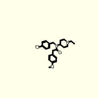 CCN1CCC(N(Cc2ccc(Cl)cc2)C(=O)Cc2ccc(OC)cc2)CC1